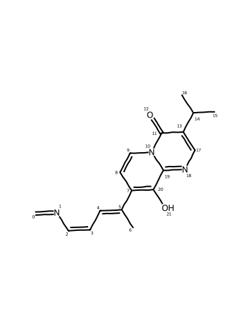 C=N/C=C\C=C(/C)c1ccn2c(=O)c(C(C)C)cnc2c1O